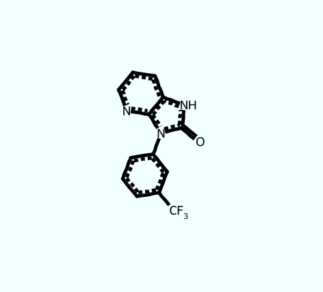 O=c1[nH]c2cccnc2n1-c1cccc(C(F)(F)F)c1